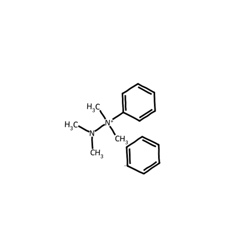 CN(C)[N+](C)(C)c1ccccc1.[c]1ccccc1